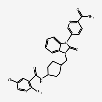 Cc1ncc(Cl)cc1C(=O)NC1CCC(Cn2c(=O)n(-c3ccc(C(N)=O)nc3)c3ccccc32)CC1